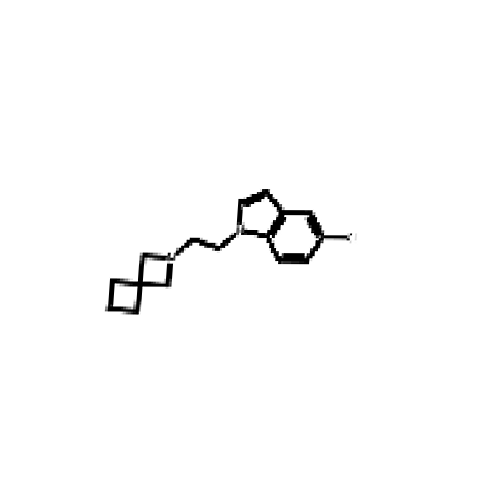 Clc1ccc2c(ccn2CCN2CC3(CCC3)C2)c1